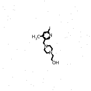 Cc1cc(I)ncc1CN1CCN(CCO)CC1